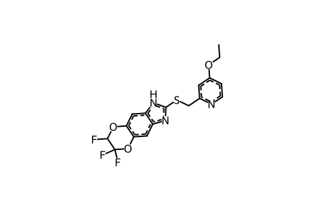 CCOc1ccnc(CSc2nc3cc4c(cc3[nH]2)OC(F)C(F)(F)O4)c1